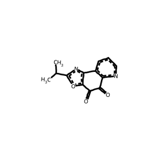 CC(C)c1nc2c(o1)C(=O)C(=O)c1ncccc1-2